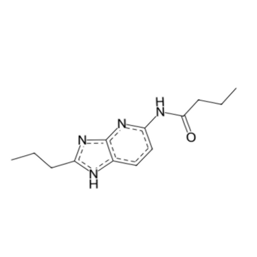 CCCC(=O)Nc1ccc2[nH]c(CCC)nc2n1